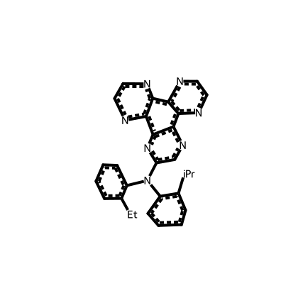 CCc1ccccc1N(c1cnc2c3nccnc3c3nccnc3c2n1)c1ccccc1C(C)C